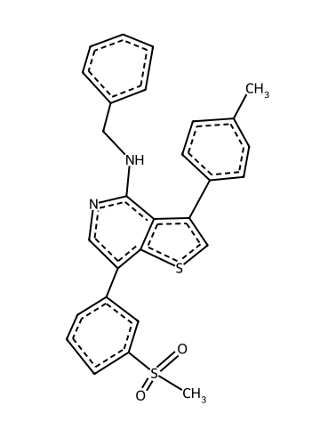 Cc1ccc(-c2csc3c(-c4cccc(S(C)(=O)=O)c4)cnc(NCc4ccccc4)c23)cc1